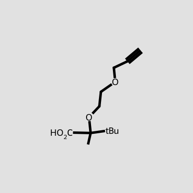 C#CCOCCOC(C)(C(=O)O)C(C)(C)C